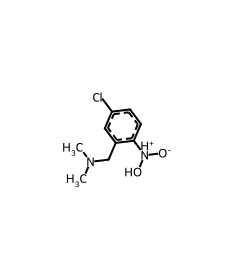 CN(C)Cc1cc(Cl)ccc1[NH+]([O-])O